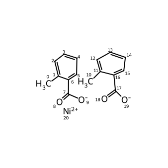 Cc1ccccc1C(=O)[O-].Cc1ccccc1C(=O)[O-].[Ni+2]